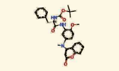 COc1ccc(N(C)c2cc(=O)oc3ccccc23)cc1NC(=O)[C@H](Cc1ccccc1)NC(=O)OC(C)(C)C